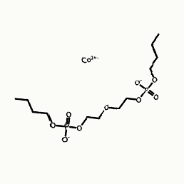 CCCCOP(=O)([O-])OCCOCCOP(=O)([O-])OCCCC.[Co+2]